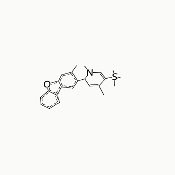 CC1=CC(c2cc3c(cc2C)oc2ccccc23)N(C)C=C1S(C)(C)C